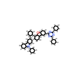 c1ccc(-c2nc(-c3ccccc3)nc(-c3ccc4oc5c(-c6ccccc6-c6ccc7c(c6)c6ccccc6n7-c6ccccc6)cccc5c4c3)n2)cc1